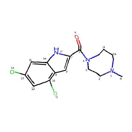 CN1CCN(C(=O)c2cc3c(Cl)cc(Cl)cc3[nH]2)CC1